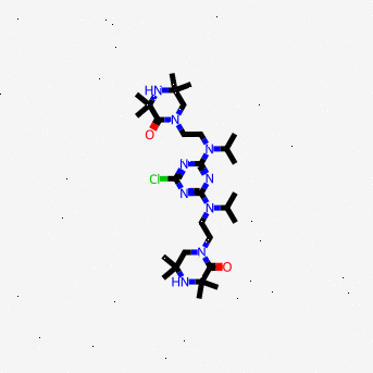 CC(C)N(CCN1CC(C)(C)NC(C)(C)C1=O)c1nc(Cl)nc(N(CCN2CC(C)(C)NC(C)(C)C2=O)C(C)C)n1